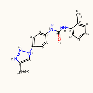 CCCCCCc1cn(-c2ccc(NC(=O)Nc3ccccc3C(F)(F)F)cc2)nn1